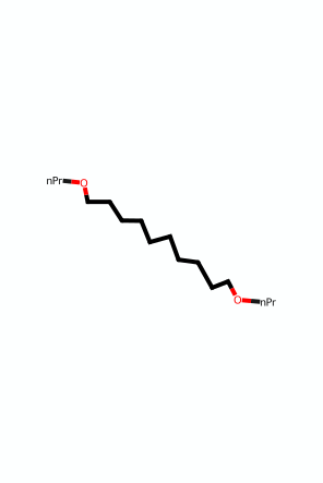 CCCOCCCCCCCCCCOCCC